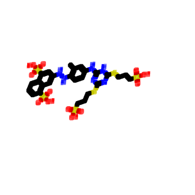 Cc1cc(NC2=NC(SCCCS(=O)(=O)O)=NC(SCCCS(=O)(=O)O)N2)ccc1NNc1cc(S(=O)(=O)O)c2cccc(S(=O)(=O)O)c2c1